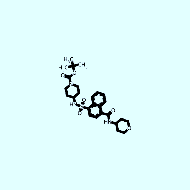 CC(C)(C)OC(=O)N1CCC(NS(=O)(=O)c2ccc(C(=O)NC3CCOCC3)c3ccccc23)CC1